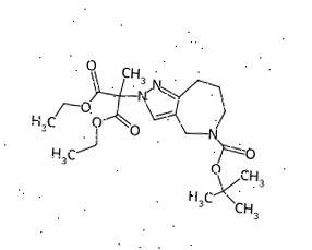 CCOC(=O)C(C)(C(=O)OCC)n1cc2c(n1)CCCN(C(=O)OC(C)(C)C)C2